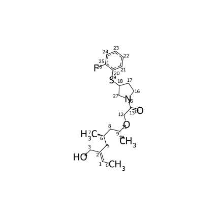 C/C=C(/CO)C[C@@H](C)C[C@@H](C)OCC(=O)N1CCC(Sc2ccccc2F)C1